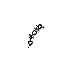 COc1ccc(-c2csc(N3CCC(S(=O)(=O)c4cc(F)ccc4C)CC3)n2)cc1